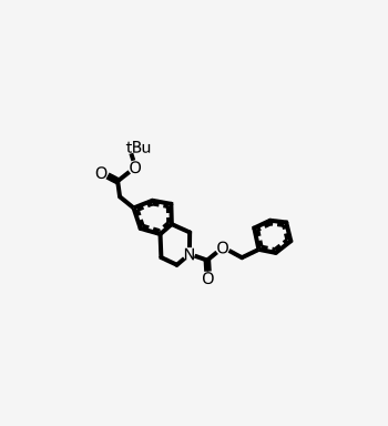 CC(C)(C)OC(=O)Cc1ccc2c(c1)CCN(C(=O)OCc1ccccc1)C2